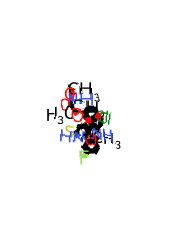 CONC(=O)C(C)(C)Oc1ccc(Cl)cc1[C@H]1CC(=S)N[C@@H](c2cc(F)ccc2C)[C@]12C(=O)Nc1cc(Cl)ccc12